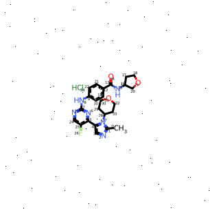 Cc1ncc(-c2nc(Nc3ccc(C(=O)NC4CCOC4)cc3)ncc2F)n1C1CCOCC1.Cl